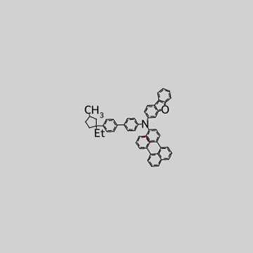 CCC1(c2ccc(-c3ccc(N(c4ccc(-c5cccc6cccc(-c7ccccc7)c56)cc4)c4ccc5c(c4)oc4ccccc45)cc3)cc2)CCC(C)C1